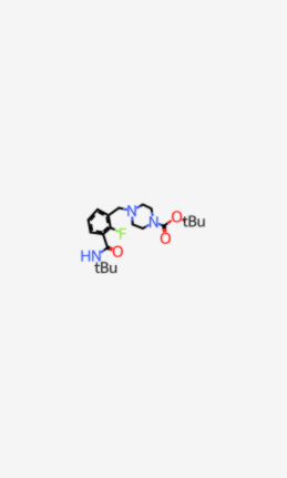 CC(C)(C)NC(=O)c1cccc(CN2CCN(C(=O)OC(C)(C)C)CC2)c1F